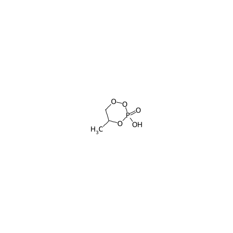 CC1COOP(=O)(O)O1